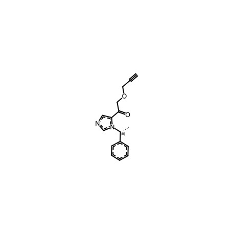 C#CCOCC(=O)c1cncn1[C@H](C)c1ccccc1